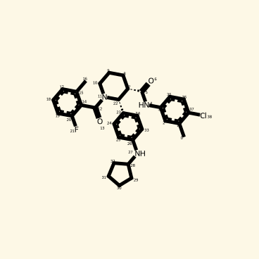 Cc1cc(NC(=O)[C@H]2CCCN(C(=O)c3c(C)cccc3F)[C@H]2c2ccc(NC3CCCC3)cc2)ccc1Cl